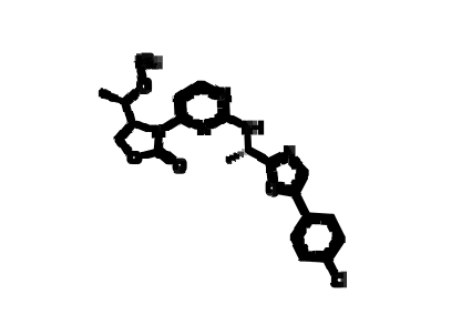 C[C@H](Nc1nccc(N2C(=O)OCC2[C@@H](C)OC(C)(C)C)n1)c1ncc(-c2ccc(Cl)cc2)o1